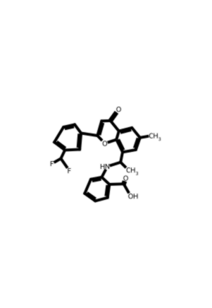 Cc1cc(C(C)Nc2ccccc2C(=O)O)c2oc(-c3cccc(C(F)F)c3)cc(=O)c2c1